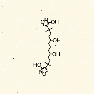 CC(C)(CCC(O)CCCC(O)CCC(C)(C)c1conc1O)c1conc1O